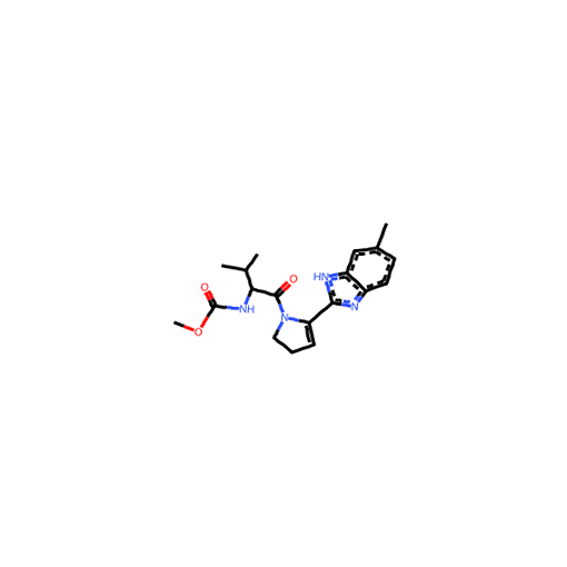 COC(=O)NC(C(=O)N1CCC=C1c1nc2ccc(C)cc2[nH]1)C(C)C